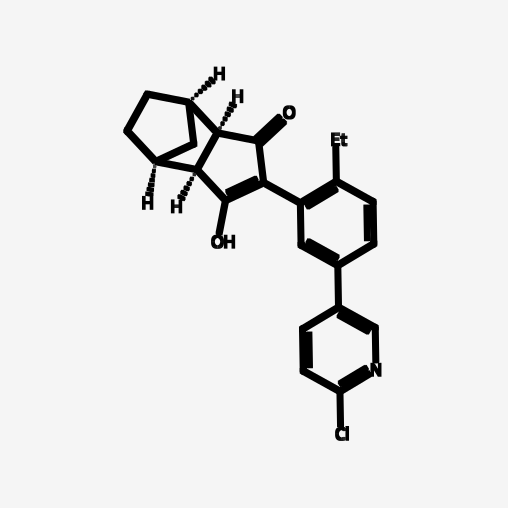 CCc1ccc(-c2ccc(Cl)nc2)cc1C1=C(O)[C@H]2[C@H]3CC[C@H](C3)[C@H]2C1=O